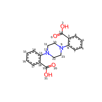 O=C(O)c1ccccc1N1CCN(c2ccccc2C(=O)O)CC1